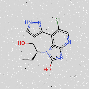 CC[C@@H](CO)n1c(O)nc2ncc(Cl)c(-c3cc[nH]n3)c21